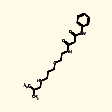 CC(C)CNCCCOCCNC(=O)CC(=O)Nc1ccccc1